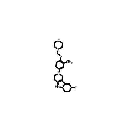 Nc1cc(N2CCC3=C(C2)C2=CC(F)CCC2N3)ccc1SCN1CCOCC1